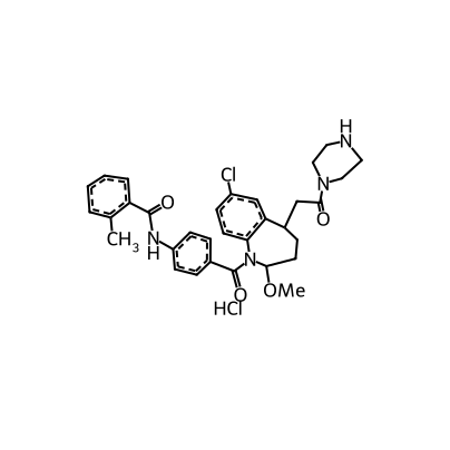 COC1CCC(CC(=O)N2CCNCC2)c2cc(Cl)ccc2N1C(=O)c1ccc(NC(=O)c2ccccc2C)cc1.Cl